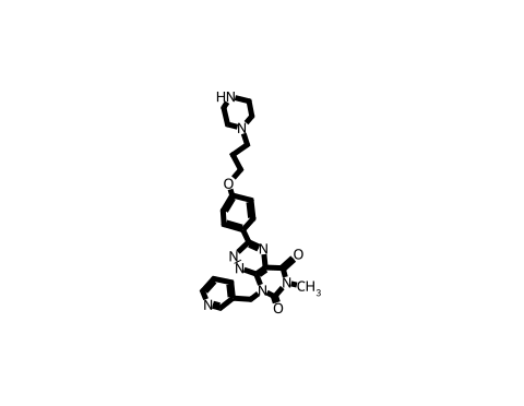 Cn1c(=O)c2nc(-c3ccc(OCCCN4CCNCC4)cc3)nnc2n(Cc2cccnc2)c1=O